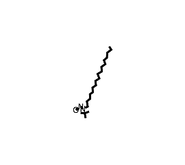 CCCCCCCCCCCCCCCCCCN(N=O)C(C)(C)C